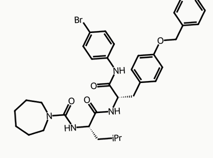 CC(C)C[C@H](NC(=O)N1CCCCCC1)C(=O)N[C@@H](Cc1ccc(OCc2ccccc2)cc1)C(=O)Nc1ccc(Br)cc1